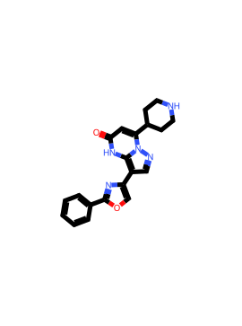 O=c1cc(C2CCNCC2)n2ncc(-c3coc(-c4ccccc4)n3)c2[nH]1